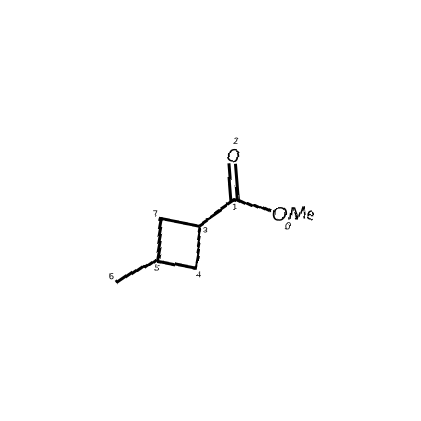 COC(=O)C1CC(C)C1